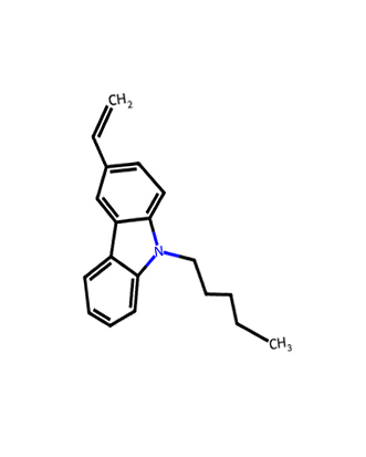 C=Cc1ccc2c(c1)c1ccccc1n2CCCCC